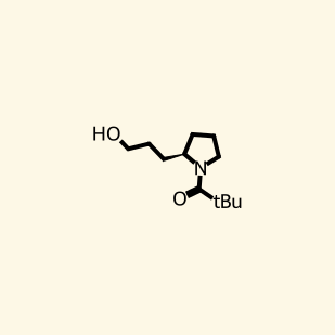 CC(C)(C)C(=O)N1CCC[C@@H]1CCCO